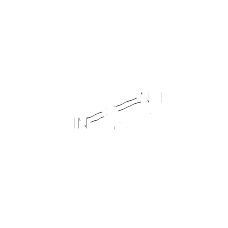 N=C=N.[Co]